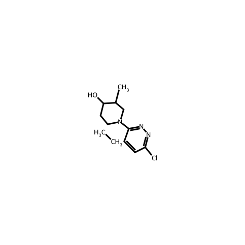 CC.CC1CN(c2ccc(Cl)nn2)CCC1O